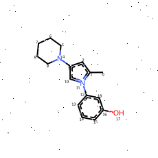 Cc1cc(N2CCCCC2)cn1-c1cccc(O)c1